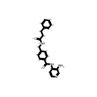 Nc1cnccc1NC(=O)c1ccc(CNC(=O)CCc2ccccc2)cc1